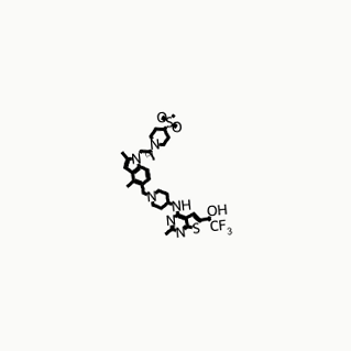 Cc1nc(NC2CCN(Cc3ccc4c(cc(C)n4C[C@H](C)N4CCC(S(C)(=O)=O)CC4)c3C)CC2)c2cc(C(O)C(F)(F)F)sc2n1